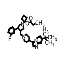 CCC(=O)OC1(N2CC(CN3CCC(c4cnc5cc(C(C)(C)C)ccn45)CC3)C(c3cccc(F)c3)C2)CCC1